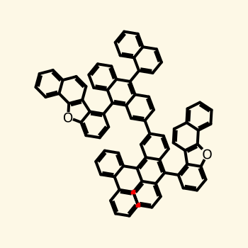 c1ccc(-c2ccccc2-c2c3ccccc3c(-c3cccc4oc5c6ccccc6ccc5c34)c3ccc(-c4ccc5c(-c6cccc7ccccc67)c6ccccc6c(-c6cccc7oc8c9ccccc9ccc8c67)c5c4)cc23)cc1